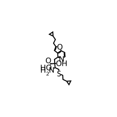 NC(CSCCC1CC1)C(O)(Cc1nccc2oc(CCC3CC3)cc12)C(=O)O